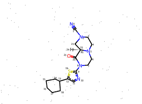 N#CN1CCN2CCN(c3ncc(C4CCCCC4)s3)C(=O)[C@H]2C1